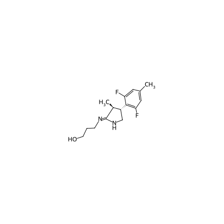 Cc1cc(F)c([C@@H]2CN/C(=N\CCCO)[C@H]2C)c(F)c1